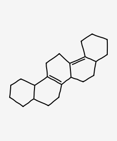 C1CCC2CCC3C(=C2C1)CCC1=C3CCC2CCCCC12